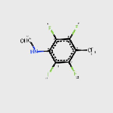 O=CNc1c(F)c(F)c(C(F)(F)F)c(F)c1F